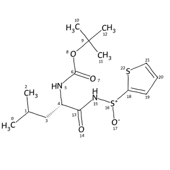 CC(C)C[C@H](NC(=O)OC(C)(C)C)C(=O)N[S+]([O-])c1cccs1